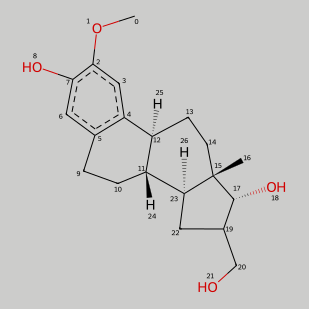 COc1cc2c(cc1O)CC[C@@H]1[C@@H]2CC[C@]2(C)[C@H](O)C(CO)C[C@@H]12